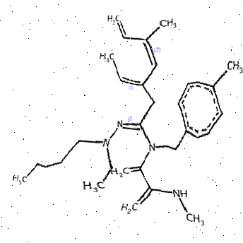 C=C/C(C)=C\C(=C/C)C/C(=N/N(CC)CCCC)N(Cc1ccc(C)cc1)C(=C)C(=C)NC